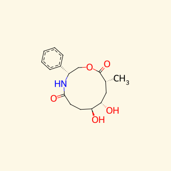 C[C@@H]1C[C@H](O)[C@@H](O)CCC(=O)N[C@H](c2ccccc2)COC1=O